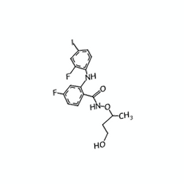 CC(CCO)ONC(=O)c1ccc(F)cc1Nc1ccc(I)cc1F